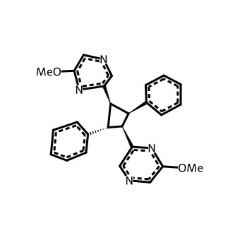 COc1cncc([C@H]2[C@H](c3ccccc3)[C@@H](c3cncc(OC)n3)[C@H]2c2ccccc2)n1